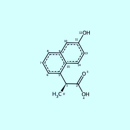 C[C@H](C(=O)O)c1cccc2cc(O)ccc12